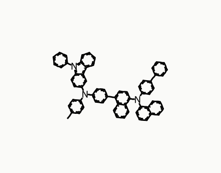 Cc1ccc(N(c2ccc(-c3ccc(N(c4ccc(-c5ccccc5)cc4)c4cccc5ccccc45)c4ccccc34)cc2)c2ccc3c(c2)c2ccccc2n3-c2ccccc2)cc1